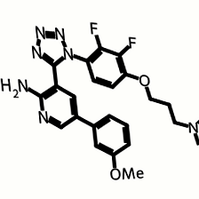 COc1cccc(-c2cnc(N)c(-c3nnnn3-c3ccc(OCCCN(C)C)c(F)c3F)c2)c1